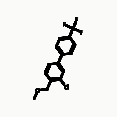 COCc1ccc(-c2ccc(C(F)(F)F)cc2)cc1Cl